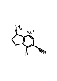 Cl.N#Cc1ccc2c(c1Cl)CCC2N